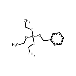 CCO[Si](OCC)(OCC)OCc1ccccc1